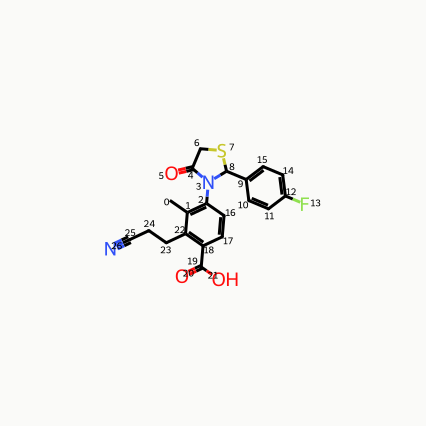 Cc1c(N2C(=O)CSC2c2ccc(F)cc2)ccc(C(=O)O)c1CCC#N